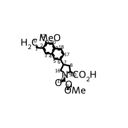 C=Cc1cc2cc(C3CC(C(=O)O)N(C(=O)OOC)C3)ccc2cc1OC